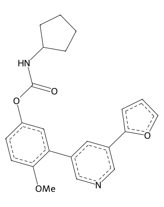 COc1ccc(OC(=O)NC2CCCC2)cc1-c1cncc(-c2ccco2)c1